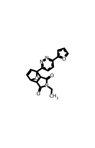 CCN1C(=O)C2C3C=CC(c4ccc(-c5ccco5)nn4)(O3)C2C1=O